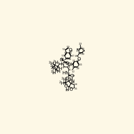 [2H]C([2H])([2H])C([2H])(CN(C[C@@H](O)[C@H](Cc1ccc(OCc2csc(C)n2)cc1)NC(=O)O[C@]1([2H])[C@@H]2CCO[C@@H]2OC1([2H])[2H])S(=O)(=O)c1ccc2occc2c1)C([2H])([2H])[2H]